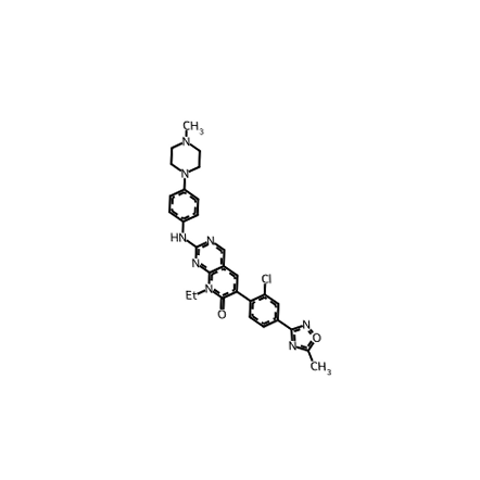 CCn1c(=O)c(-c2ccc(-c3noc(C)n3)cc2Cl)cc2cnc(Nc3ccc(N4CCN(C)CC4)cc3)nc21